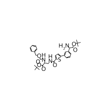 CC(C)(C)OC(=O)C(CNC(=O)c1ccc(-c2cccc(C(N)C(=O)OC(C)(C)C)c2)s1)NC(=O)OCc1ccccc1